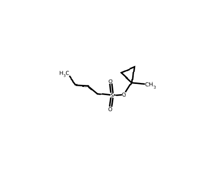 CCCCS(=O)(=O)OC1(C)CC1